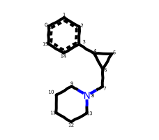 c1ccc(C2CC2CN2CCCCC2)cc1